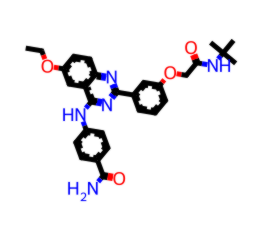 CCOc1ccc2nc(-c3cccc(OCC(=O)NC(C)(C)C)c3)nc(Nc3ccc(C(N)=O)cc3)c2c1